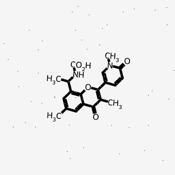 Cc1cc(C(C)NC(=O)O)c2oc(-c3ccc(=O)n(C)c3)c(C)c(=O)c2c1